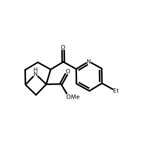 CCc1ccc(C(=O)C2CCC3CC2(C(=O)OC)N3)nc1